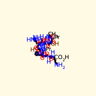 CC(C)C[C@H](NC(=O)[C@H](C)N)C(=O)N[C@@H](CS)C(=O)NCC(=O)N[C@@H](CO)C(=O)N[C@@H](CCCNC(=N)N)C(=O)N[C@@H](CS)C(=O)N[C@@H](CC(C)C)C(=O)N[C@@H](Cc1ccccc1)C(=O)NCC(=O)NCC(=O)N[C@@H](CCCCN)C(=O)O